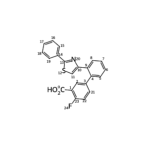 O=C(O)c1cc(-c2ccccc2-c2csc(-c3ccccc3)n2)ccc1F